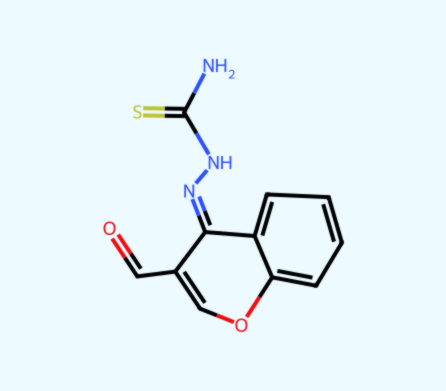 NC(=S)NN=c1c(C=O)coc2ccccc12